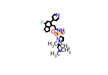 CN(C)CC(C)(C)n1ccc(S(=O)(=O)NC(=O)Cc2c(-c3ccncc3)cc(F)c3c2CCC3)n1